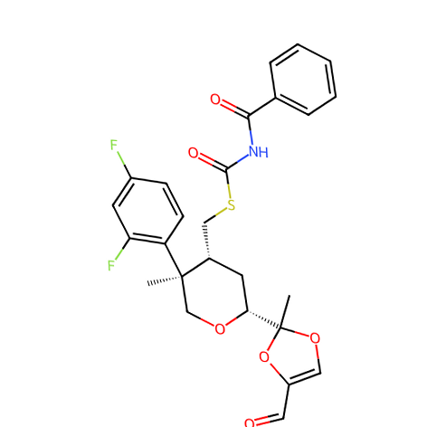 CC1([C@H]2C[C@@H](CSC(=O)NC(=O)c3ccccc3)[C@](C)(c3ccc(F)cc3F)CO2)OC=C(C=O)O1